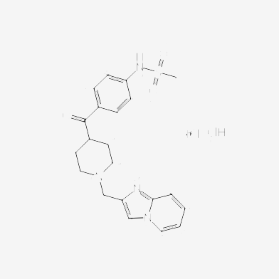 CS(=O)(=O)Nc1ccc(C(=O)C2CCN(Cc3cn4ccccc4n3)CC2)cc1.Cl.Cl